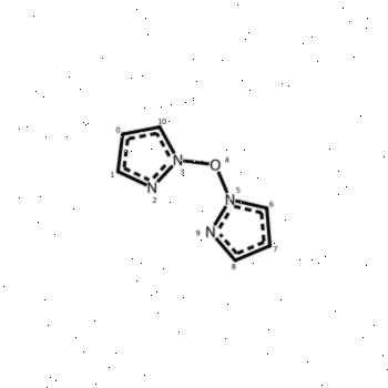 c1cnn(On2cccn2)c1